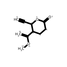 C#CC1OC(=O)CCC1C(=C)OC